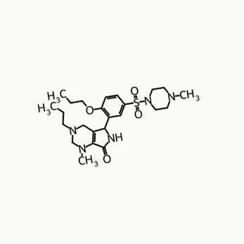 CCCOc1ccc(S(=O)(=O)N2CCN(C)CC2)cc1C1NC(=O)C2=C1CN(CCC)CN2C